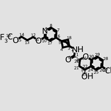 O=C(NC12CC(c3ccnc(OCCCOC(F)(F)F)c3)(C1)C2)[C@H]1C[C@@H](O)c2cc(Cl)ccc2O1